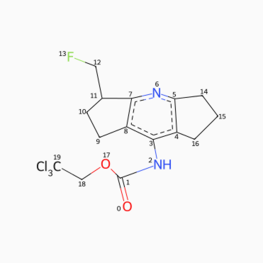 O=C(Nc1c2c(nc3c1CCC3CF)CCC2)OCC(Cl)(Cl)Cl